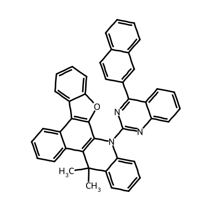 CC1(C)c2ccccc2N(c2nc(-c3ccc4ccccc4c3)c3ccccc3n2)c2c1c1ccccc1c1c2oc2ccccc21